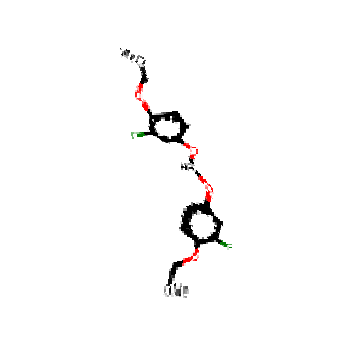 COCOc1ccc(OBOc2ccc(OCOC)c(F)c2)cc1F